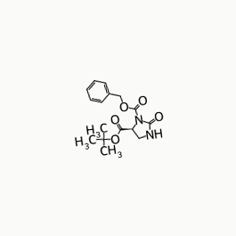 CC(C)(C)OC(=O)[C@@H]1CNC(=O)N1C(=O)OCc1ccccc1